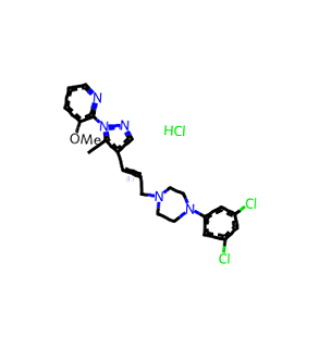 COc1cccnc1-n1ncc(/C=C/CN2CCN(c3cc(Cl)cc(Cl)c3)CC2)c1C.Cl